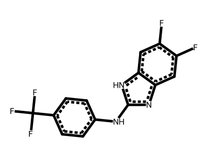 Fc1cc2nc(Nc3ccc(C(F)(F)F)cc3)[nH]c2cc1F